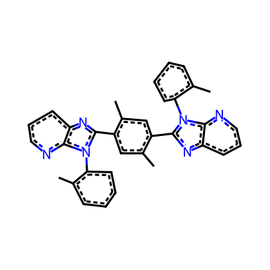 Cc1cc(-c2nc3cccnc3n2-c2ccccc2C)c(C)cc1-c1nc2cccnc2n1-c1ccccc1C